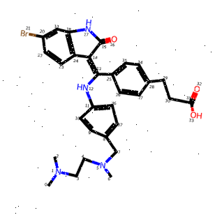 CN(C)CCN(C)Cc1ccc(NC(=C2C(=O)Nc3cc(Br)ccc32)c2ccc(CCC(=O)O)cc2)cc1